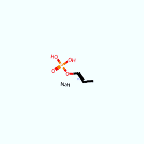 C/C=C/OP(=O)(O)O.[NaH]